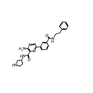 Nc1ncc(-c2cccc(C(=O)NCCc3ccccc3)c2)nc1C(=O)N[C@H]1CCNC1